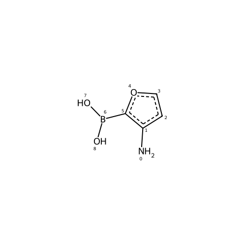 Nc1ccoc1B(O)O